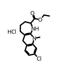 CCOC(=O)C1CCCC2=C(N1)N(C)c1cc(Cl)ccc1C2.Cl